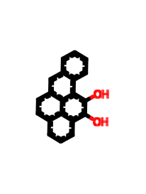 Oc1c(O)c2c3ccccc3cc3ccc4cccc1c4c32